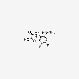 NNc1cc(F)c(F)cc1F.O=C(O)C(=O)O